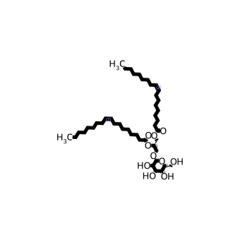 CCCCCCCC/C=C\CCCCCCCC(=O)OC[C@H](CO[C@@H]1O[C@H](CO)[C@H](O)C(O)C1O)OC(=O)CCCCCCC/C=C\CCCCCCCC